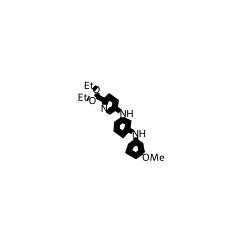 CCOC(OCC)c1ccc(Nc2cccc(Nc3cccc(OC)c3)c2)cn1